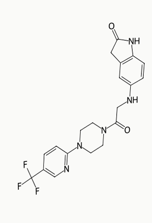 O=C1Cc2cc(NCC(=O)N3CCN(c4ccc(C(F)(F)F)cn4)CC3)ccc2N1